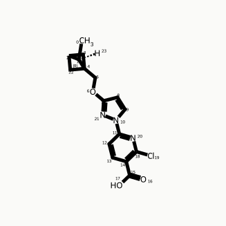 C[C@@H]1C2CC1(COc1ccn(-c3ccc(C(=O)O)c(Cl)n3)n1)C2